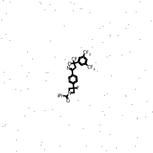 CC(C)C(=O)N1CC(F)(c2ccc(C3=NOC(c4cc(C(F)(F)F)cc(C(F)(F)F)c4)(C(F)(F)F)C3)cc2)C1